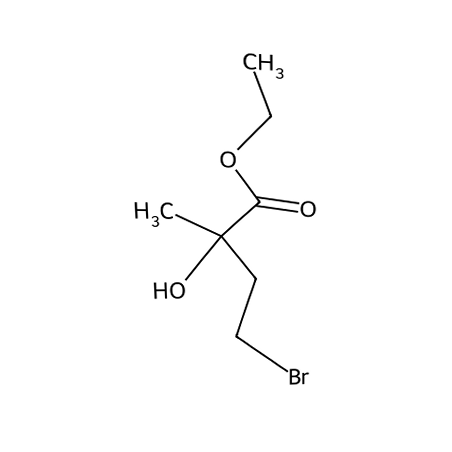 CCOC(=O)C(C)(O)CCBr